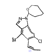 C/C=C\c1c(Cl)cc2c(cnn2C2CCCCO2)c1Br